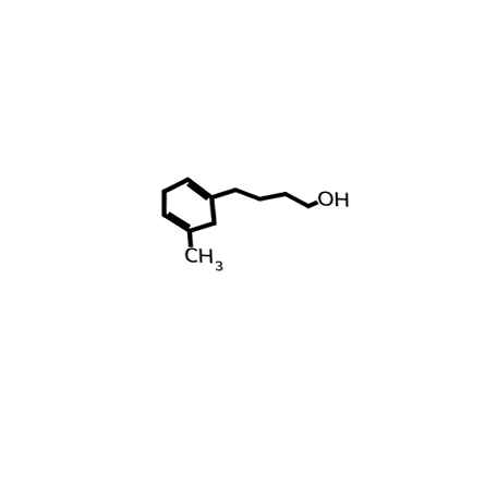 CC1=CCC=C(CCCCO)C1